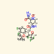 [2H]C([2H])([2H])Oc1c([C@H]2[C@@H](C(=O)Nc3cc[n+]([O-])c(C(N)=O)c3)O[C@@](C)(C(F)(F)F)[C@H]2C)ccc(F)c1F